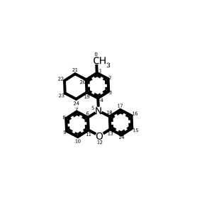 Cc1ccc(N2c3ccccc3Oc3ccccc32)c2c1CCCC2